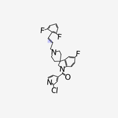 O=C(c1ccnc(Cl)c1)N1CC2(CCN(C/C=C/c3c(F)cccc3F)CC2)c2cc(F)ccc21